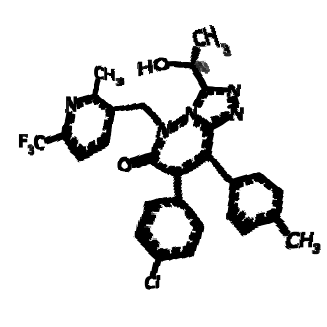 Cc1ccc(-c2c(-c3ccc(Cl)cc3)c(=O)n(Cc3ccc(C(F)(F)F)nc3C)n3c([C@H](C)O)nnc23)cc1